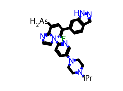 CC(C)N1CCN(c2ccc([N+]34C=CN=C3C([AsH2])=CC(c3ccc5cn[nH]c5c3)=C4F)nc2)CC1